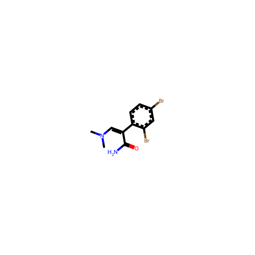 CN(C)C=C(C(N)=O)c1ccc(Br)cc1Br